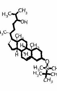 CC(C)C(O)CC[C@@H](C)[C@H]1CC[C@H]2[C@@H]3CC=C4CC(O[Si](C)(C)C(C)(C)C)CC[C@]4(C)[C@H]3CC[C@]12C